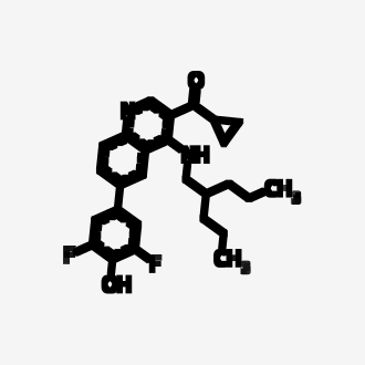 CCCC(CCC)CNc1c(C(=O)C2CC2)cnc2ccc(-c3cc(F)c(O)c(F)c3)cc12